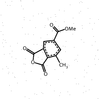 COC(=O)c1cc(C)c2c(c1)C(=O)OC2=O